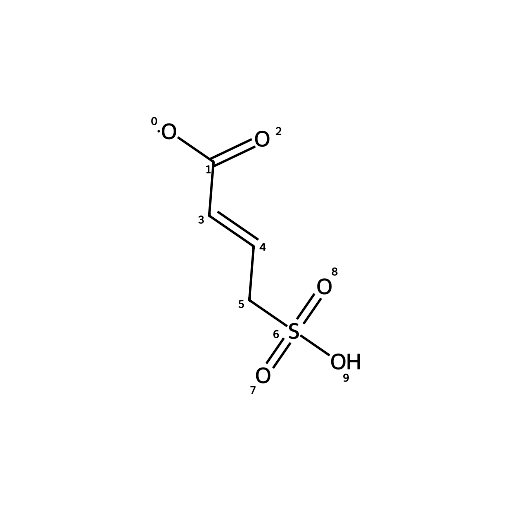 [O]C(=O)C=CCS(=O)(=O)O